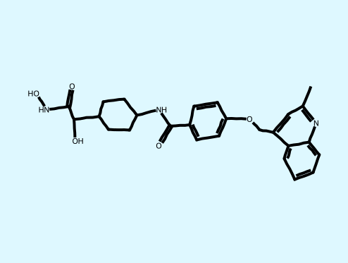 Cc1cc(COc2ccc(C(=O)NC3CCC(C(O)C(=O)NO)CC3)cc2)c2ccccc2n1